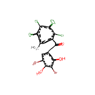 O=C(O)c1c(Cl)c(Cl)c(Cl)c(Cl)c1C(=O)c1cc(Br)c(O)c(Br)c1O